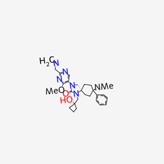 C=NCc1ncc(N2C[C@]3(CC[C@@](NC)(c4ccccc4)CC3)N(CC3(O)CCC3)C2=O)c(OC)n1